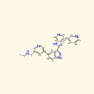 CCNCc1cncc(-c2ccc3[nH]nc(-c4nc5c(-c6cccnc6)cncc5[nH]4)c3c2)c1